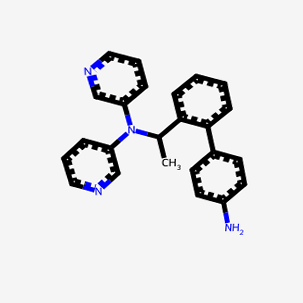 CC(c1ccccc1-c1ccc(N)cc1)N(c1cccnc1)c1cccnc1